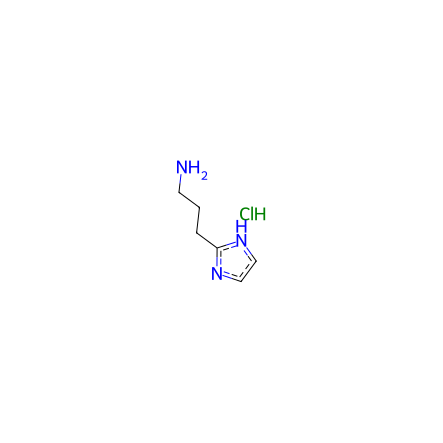 Cl.NCCCc1ncc[nH]1